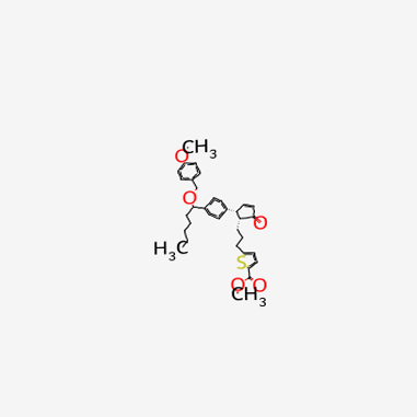 CCCCCC(OCc1ccc(OC)cc1)c1ccc([C@@H]2C=CC(=O)[C@@H]2CCCc2ccc(C(=O)OC)s2)cc1